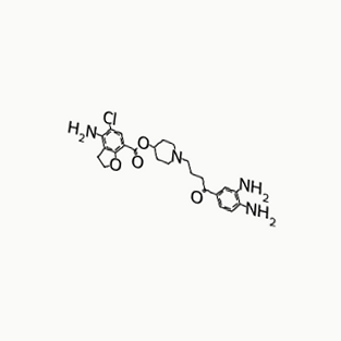 Nc1ccc(C(=O)CCCN2CCC(OC(=O)c3cc(Cl)c(N)c4c3OCC4)CC2)cc1N